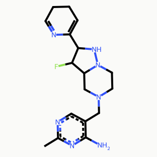 Cc1ncc(CN2CCN3NC(C4=CCCC=N4)C(F)C3C2)c(N)n1